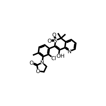 Cc1ccc(C2=C(O)c3ncccc3C(C)(C)S2(=O)=O)c(Cl)c1N1CCOC1=O